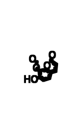 O=COc1c(O)ccc2ccc(=O)oc12